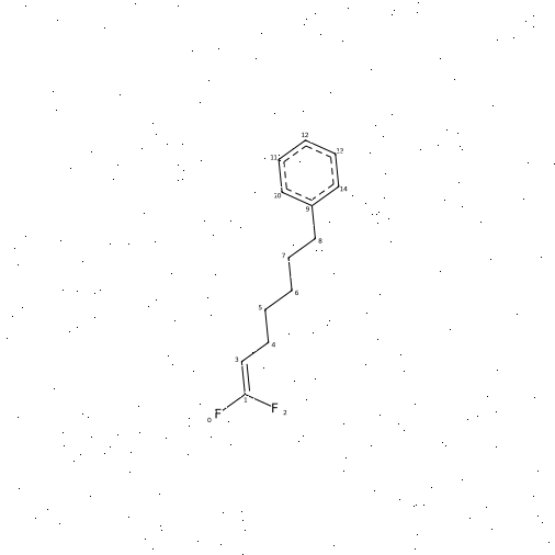 FC(F)=CCCCCCc1ccccc1